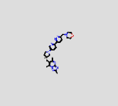 Cc1nc2nc(C)c(C[C@@H]3CCN(c4ccc(-c5ccc(CN6CCOCC6)nn5)nc4)C3)c(C)n2n1